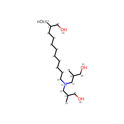 CCCCCCCCC([CH]CCCCCCCCN(CC(C)CO)CC(C)CO)CO